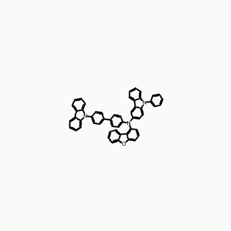 c1ccc(-n2c3ccccc3c3cc(N(c4ccc(-c5ccc(-n6c7ccccc7c7ccccc76)cc5)cc4)c4cccc5oc6ccccc6c45)ccc32)cc1